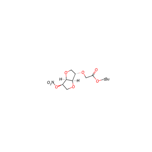 CC(C)(C)OC(=O)CO[C@H]1CO[C@H]2[C@@H]1OC[C@H]2O[N+](=O)[O-]